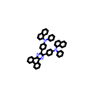 c1ccc(N(c2ccc(-c3nc4c5ccccc5c5ccccc5c4nc3-c3ccc(N(c4ccccc4)c4cccc5ccccc45)cc3)cc2)c2cccc3ccccc23)cc1